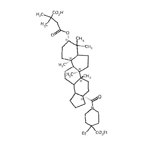 CCOC(=O)C1(CC)CCN(C(=O)[C@]23CCCC2C2CCC4[C@@]5(C)CC[C@H](OC(=O)CC(C)(C)C(=O)O)C(C)(C)C5CC[C@@]4(C)[C@]2(C)CC3)CC1